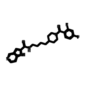 O=C(NCCCCC1CCN(C(=O)c2ccc(F)cc2F)CC1)c1cc2cnccc2[nH]1